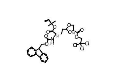 C=CC(C)(C)OC(=O)[C@H](CCC1OC[C@@H](C(=O)OCC(Cl)(Cl)Cl)O1)NC(=O)OCC1c2ccccc2-c2ccccc21